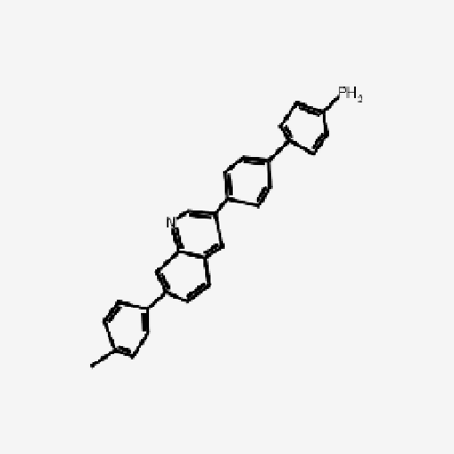 Cc1ccc(-c2ccc3cc(-c4ccc(-c5ccc(P)cc5)cc4)cnc3c2)cc1